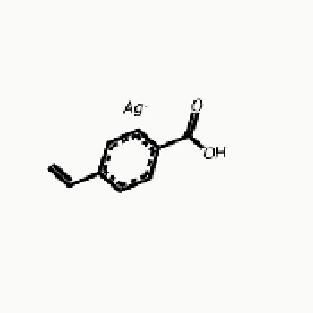 C=Cc1ccc(C(=O)O)cc1.[Ag]